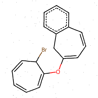 BrC1C=CC=CC=C1OC1=CC=Cc2ccccc2C1